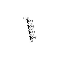 NCC(O)CNCC(O)CNCC(O)CNCC(O)CCl